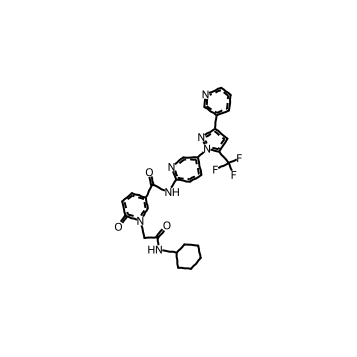 O=C(Cn1cc(C(=O)Nc2ccc(-n3nc(-c4cccnc4)cc3C(F)(F)F)cn2)ccc1=O)NC1CCCCC1